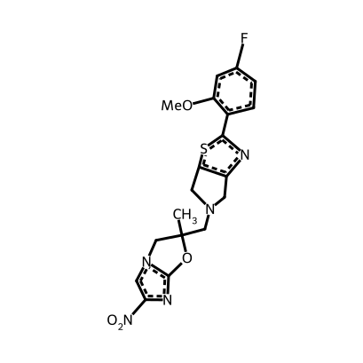 COc1cc(F)ccc1-c1nc2c(s1)CN(CC1(C)Cn3cc([N+](=O)[O-])nc3O1)C2